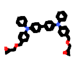 c1ccc(N(c2ccc(COCC3CO3)cc2)c2ccc(-c3ccc(N(c4ccccc4)c4ccc(COCC5CO5)cc4)cc3)cc2)cc1